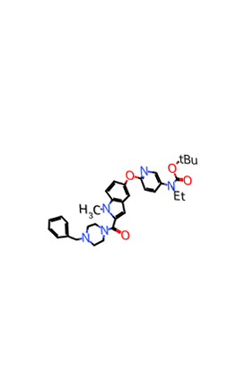 CCN(C(=O)OC(C)(C)C)c1ccc(Oc2ccc3c(c2)cc(C(=O)N2CCN(Cc4ccccc4)CC2)n3C)nc1